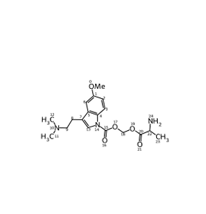 COc1ccc2c(c1)c(CCN(C)C)cn2C(=O)OCOC(=O)C(C)N